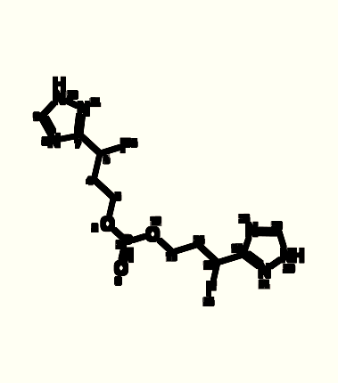 O=[PH](OCCC(F)c1nc[nH]n1)OCCC(F)c1nc[nH]n1